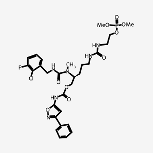 COP(=O)(OC)OCCNC(=O)NCCC[C@@H](COC(=O)Nc1cc(-c2ccccc2)no1)N(C)C(=O)NCc1cccc(F)c1Cl